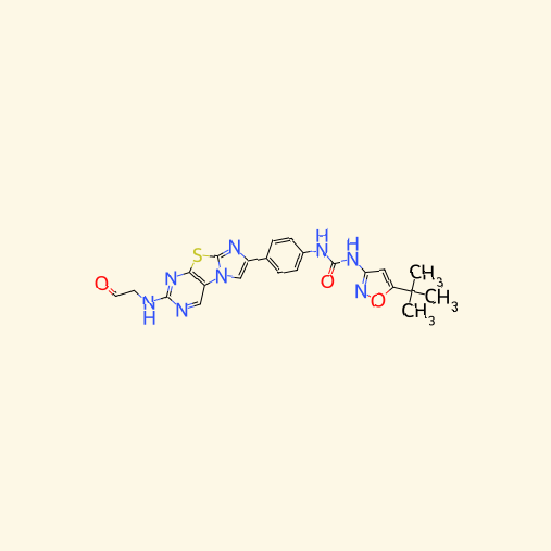 CC(C)(C)c1cc(NC(=O)Nc2ccc(-c3cn4c(n3)sc3nc(NCC=O)ncc34)cc2)no1